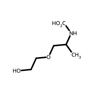 CC(COCCO)NC(=O)O